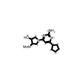 CNC1CN(c2cc(C3CCCC3)nc(N)n2)CC1O